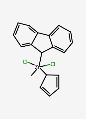 [CH3][Zr]([Cl])([Cl])([CH]1C=CC=C1)[CH]1c2ccccc2-c2ccccc21